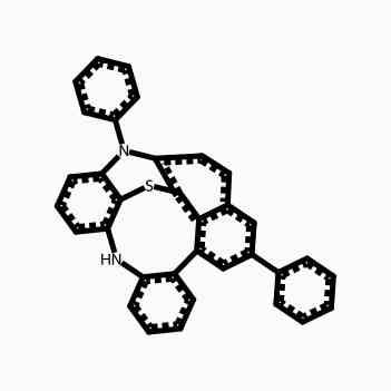 c1ccc(-c2cc3c4c5c(ccc4c2)N(c2ccccc2)c2cccc(c2S5)Nc2ccccc2-3)cc1